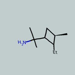 CCC1C(C(C)(C)N)C[C@H]1C